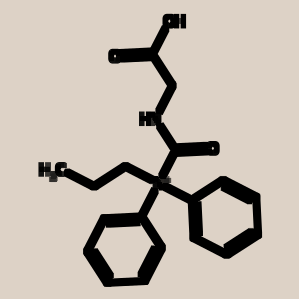 CCC[N+](C(=O)NCC(=O)O)(c1ccccc1)c1ccccc1